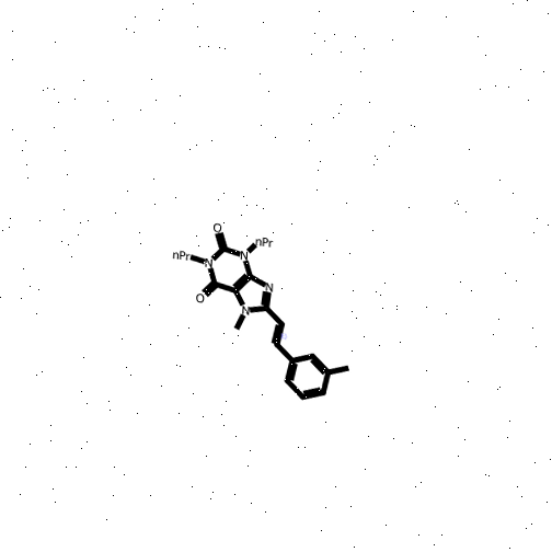 CCCn1c(=O)c2c(nc(/C=C/c3cccc(C)c3)n2C)n(CCC)c1=O